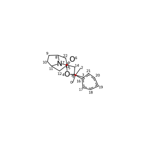 CC(C)(C)OC(=O)N1C2CCC1CC(CCc1ccccc1)C2